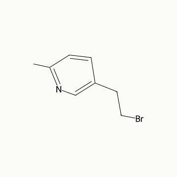 Cc1ccc(CCBr)cn1